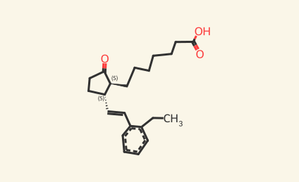 CCc1ccccc1C=C[C@@H]1CCC(=O)[C@H]1CCCCCCC(=O)O